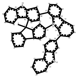 CC1(C)c2ccccc2-c2ccc(-n3c4c(-c5ccc6c(c5)sc5ccccc56)cccc4c4cccc(-c5ccc6c(c5)sc5ccccc56)c43)cc21